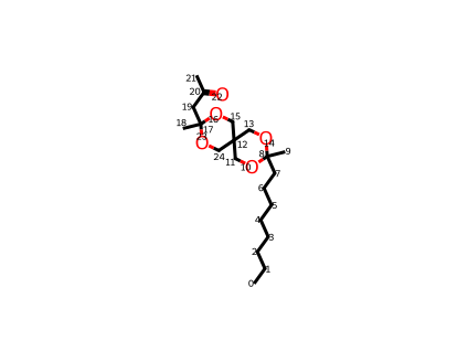 CCCCCCCCC1(C)OCC2(CO1)COC(C)(CC(C)=O)OC2